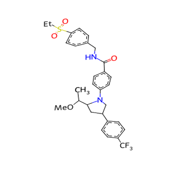 CCS(=O)(=O)c1ccc(CNC(=O)c2ccc(N3CC(c4ccc(C(F)(F)F)cc4)CC3C(C)OC)cc2)cc1